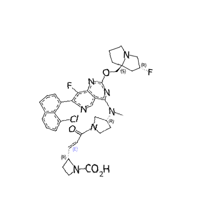 CN(c1nc(OC[C@@]23CCCN2C[C@H](F)C3)nc2c(F)c(-c3cccc4cccc(Cl)c34)ncc12)[C@@H]1CCN(C(=O)/C=C/[C@H]2CCN2C(=O)O)C1